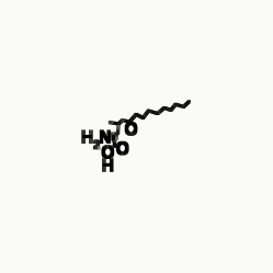 CCCCCCCCCC(=O)CC(C)C[C@H](N)C(=O)O